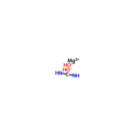 N=C=N.[Mg+2].[OH-].[OH-]